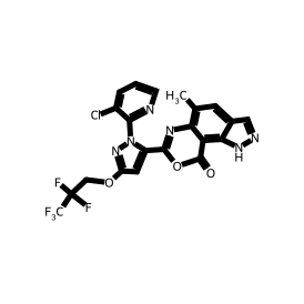 Cc1cc2cn[nH]c2c2c(=O)oc(-c3cc(OCC(F)(F)C(F)(F)F)nn3-c3ncccc3Cl)nc12